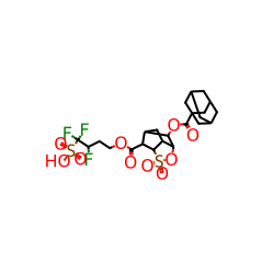 O=C(OCCC(F)C(F)(F)S(=O)(=O)O)C1C2CC3C(OS(=O)(=O)C31)C2OC(=O)C12CC3CC(CC(C3)C1)C2